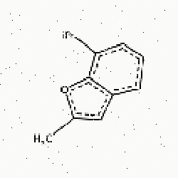 Cc1cc2cccc(C(C)C)c2o1